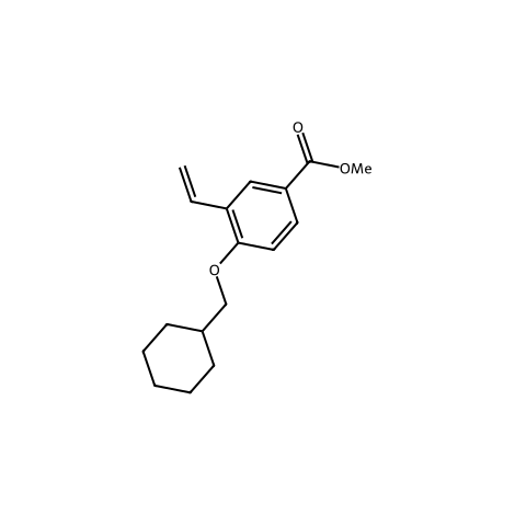 C=Cc1cc(C(=O)OC)ccc1OCC1CCCCC1